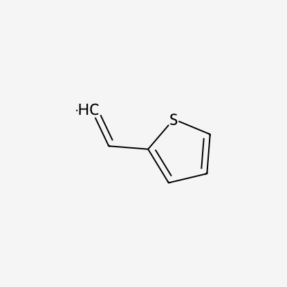 [CH]=Cc1cccs1